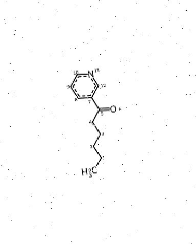 CCCC[CH]C(=O)c1cccnc1